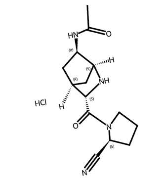 CC(=O)N[C@@H]1C[C@H]2C[C@@H]1N[C@@H]2C(=O)N1CCC[C@H]1C#N.Cl